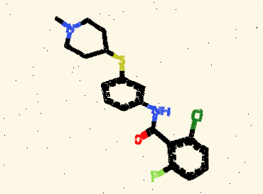 CN1CCC(Sc2cccc(NC(=O)c3c(F)cccc3Cl)c2)CC1